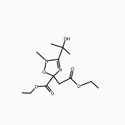 CCOC(=O)CC1(C(=O)OCC)N=C(C(C)(C)O)N(C)O1